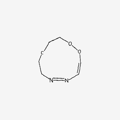 C1=COOCCCCCN=N1